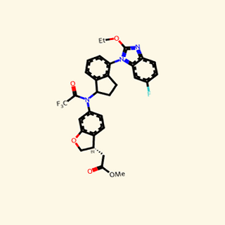 CCOc1nc2ccc(F)cc2n1-c1cccc2c1CCC2N(C(=O)C(F)(F)F)c1ccc2c(c1)OC[C@H]2CC(=O)OC